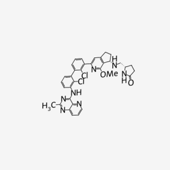 COc1nc(-c2cccc(-c3cccc(Nc4nc(C)nc5cccnc45)c3Cl)c2Cl)cc2c1[C@@H](NC[C@@H]1CCC(=O)N1)CC2